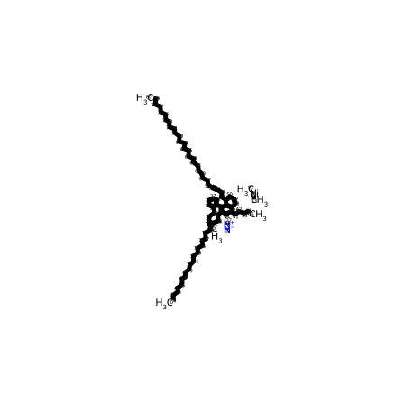 CCCCCCCCCCCCCCCCCCCCC#CCCc1ccccc1C(=C(CCCC)C(=C=[N+]=[N-])CCCCCC)c1ccccc1CCC#CCCCCCCCCCCCCCCCCCCCCCCCCC.[CH3][Ni][CH3]